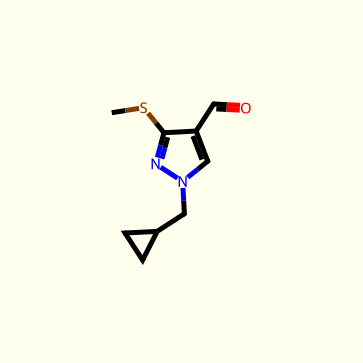 CSc1nn(CC2CC2)cc1C=O